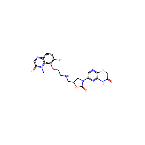 Cn1c(=O)cnc2ccc(F)c(OCCNCC3CN(c4cnc5c(n4)NC(=O)CS5)C(=O)O3)c21